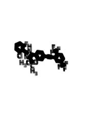 CC1(C)Oc2cc(C#Cc3cc(C(F)(F)F)ccc3C(F)(F)F)ccc2-c2[nH]c(-c3c(F)cccc3Cl)nc21